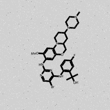 COc1cc2c(cc1Nc1ncc(Br)c(Nc3ccc(F)cc3C(C)(C)O)n1)OCC1CC(N3CCN(C)CC3)CCN21